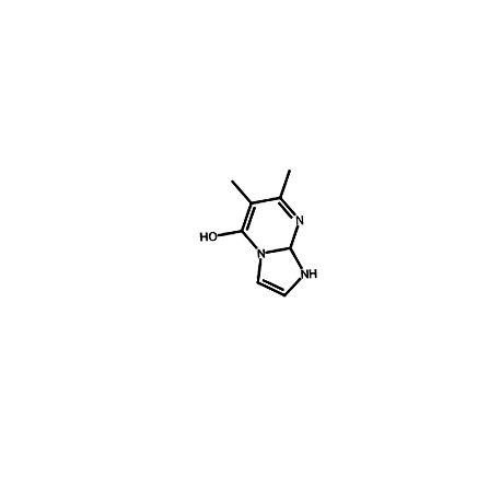 CC1=NC2NC=CN2C(O)=C1C